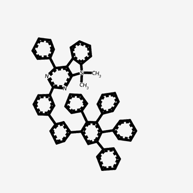 C[Si]1(C)c2ccccc2-c2c(-c3ccccc3)nc(-c3cccc(-c4cccc(-c5cc(-c6ccccc6)c(-c6ccccc6)c(-c6ccccc6)c5-c5ccccc5)c4)c3)nc21